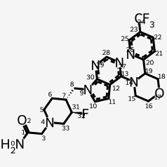 NC(=O)CN1CC[C@H](Cn2ccc3c(N4CCOCC4c4ccc(C(F)(F)F)cn4)ncnc32)[C@@H](F)C1